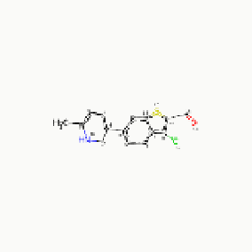 CC1=CC=C(c2ccc3c(Cl)c(C=O)sc3c2)CN1